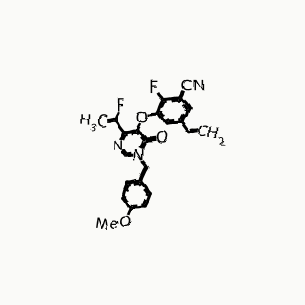 C=Cc1cc(C#N)c(F)c(Oc2c(C(C)F)ncn(Cc3ccc(OC)cc3)c2=O)c1